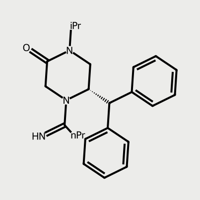 CCCC(=N)N1CC(=O)N(C(C)C)C[C@@H]1C(c1ccccc1)c1ccccc1